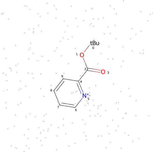 CC(C)(C)OC(=O)C1=[N+]C=CC=C1